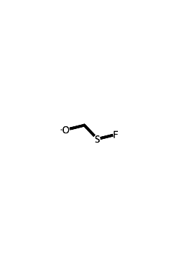 [O]CSF